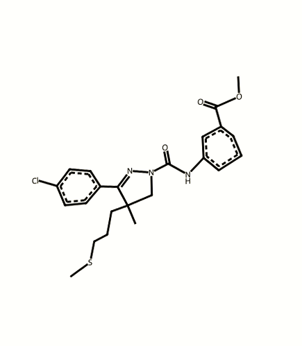 COC(=O)c1cccc(NC(=O)N2CC(C)(CCCSC)C(c3ccc(Cl)cc3)=N2)c1